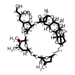 C=C1CC2CC[C@@]34CC5O[C@H]6[C@@H](O3)[C@H]3O[C@H](CC[C@@H]3O[C@H]6[C@H]5O4)CC(=O)CC3[C@@H](OC)C(C[C@H](O)CO)O[C@H]3C[C@H]3O[C@@H](CC[C@@H]1O2)C[C@@H](C)C3=C